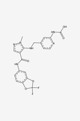 Cn1ncc(C(=O)Nc2ccc3c(c2)OC(F)(F)O3)c1NCc1ccnc(NC(=O)O)c1